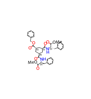 COC(=O)[C@H](Cc1ccccc1)NC(=O)[C@@H]1C[C@H](C(=O)N[C@@H](Cc2ccccc2)C(=O)OC)C[C@H](C(=O)OCc2ccccc2)C1